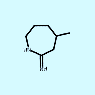 CC1CCCNC(=N)C1